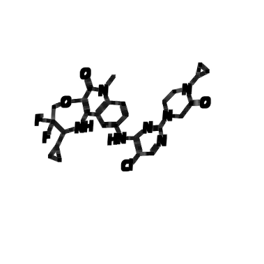 Cn1c(=O)c2c(c3cc(Nc4nc(N5CCN(C6CC6)C(=O)C5)ncc4Cl)ccc31)NC(C1CC1)C(F)(F)CO2